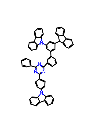 c1ccc(-c2nc(-c3ccc(-n4c5ccccc5c5ccccc54)cc3)nc(-c3cccc(-c4cc(C5c6ccccc6-c6ccccc65)cc(-n5c6ccccc6c6ccccc65)c4)c3)n2)cc1